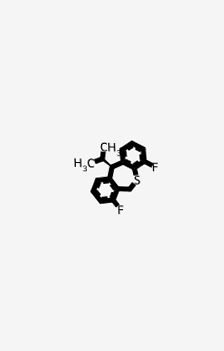 CC(C)[C@@H]1c2cccc(F)c2CSc2c(F)cccc21